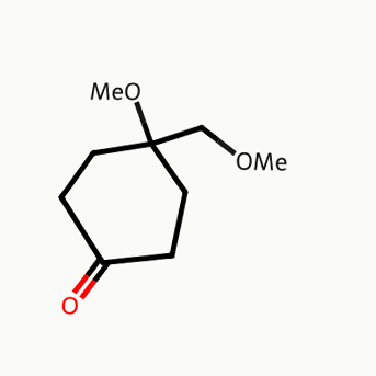 COCC1(OC)CCC(=O)CC1